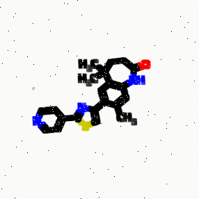 Cc1cc2c(cc1-c1csc(-c3ccncc3)n1)C(C)(C)CCC(=O)N2